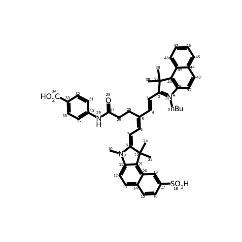 CCCC[N+]1=C(/C=C/C(=C/C=C2/N(C)c3ccc4ccc(S(=O)(=O)O)cc4c3C2(C)C)CCC(=O)Nc2ccc(C(=O)O)cc2)C(C)(C)c2c1ccc1ccccc21